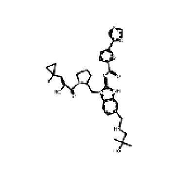 CC(C)(O)CNCc1ccc2c(c1)[nH]c(=NC(=O)c1ccc(-c3cnco3)s1)n2CC1CCCN1C(=O)C(C#N)=CC1(C)CC1